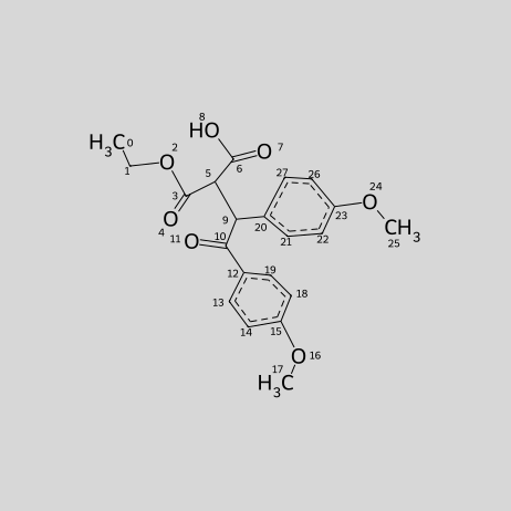 CCOC(=O)C(C(=O)O)C(C(=O)c1ccc(OC)cc1)c1ccc(OC)cc1